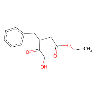 CCOC(=O)CC(Cc1ccccc1)C(=O)CO